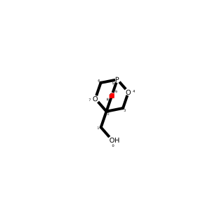 OCC12COP(CO1)OC2